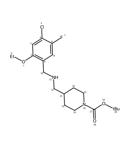 CCOc1cc(Cl)c(F)cc1CNCC1CCN(C(=O)OC(C)(C)C)CC1